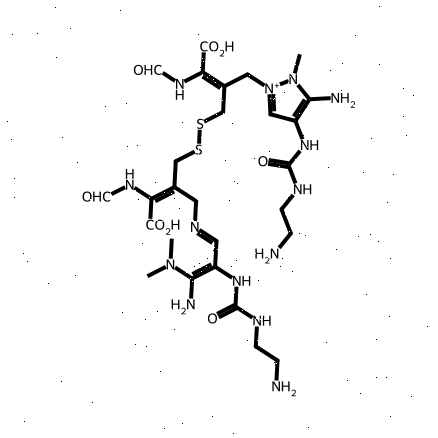 CN(C)/C(N)=C(\C=N\C/C(CSSC/C(C[n+]1cc(NC(=O)NCCN)c(N)n1C)=C(\NC=O)C(=O)O)=C(/NC=O)C(=O)O)NC(=O)NCCN